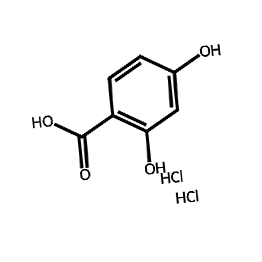 Cl.Cl.O=C(O)c1ccc(O)cc1O